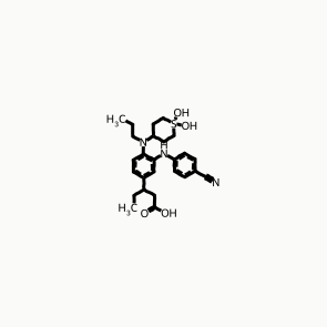 CCCN(c1ccc(C(CC)CC(=O)O)cc1Nc1ccc(C#N)cc1)C1CCS(O)(O)CC1